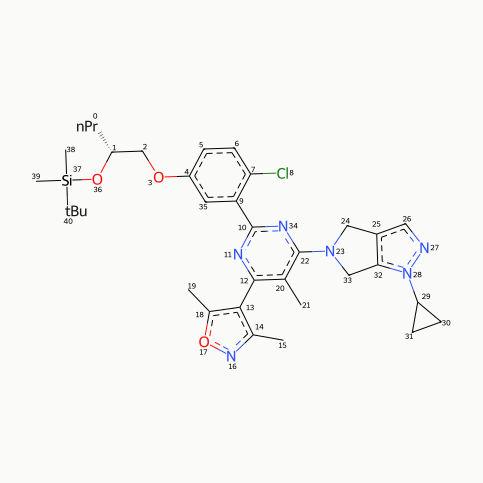 CCC[C@H](COc1ccc(Cl)c(-c2nc(-c3c(C)noc3C)c(C)c(N3Cc4cnn(C5CC5)c4C3)n2)c1)O[Si](C)(C)C(C)(C)C